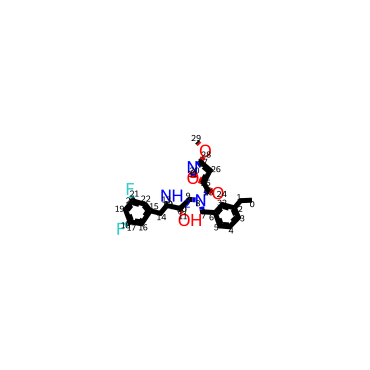 CCc1cccc(CN(C[C@@H](O)[C@@H](N)Cc2cc(F)cc(F)c2)C(=O)c2cc(OC)no2)c1